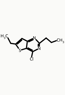 CCCc1nc(Cl)c2sc(CC)cc2n1